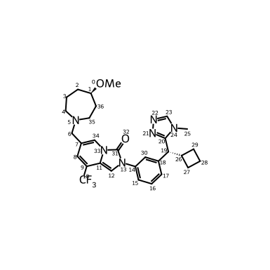 CO[C@@H]1CCCN(Cc2cc(C(F)(F)F)c3cn(-c4cccc([C@H](c5nncn5C)C5CCC5)c4)c(=O)n3c2)CC1